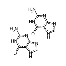 Nc1nc2nc[nH]c2c(=O)[nH]1.Nc1nc2nc[nH]c2c(=O)[nH]1